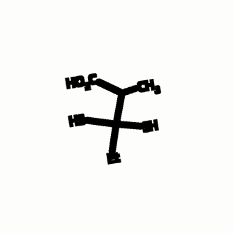 CCC(S)(S)C(C)C(=O)O